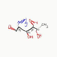 C[C@H](O)[C@H](O)[C@@H](O)[C@@H](N)C=O